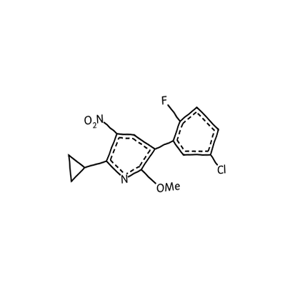 COc1nc(C2CC2)c([N+](=O)[O-])cc1-c1cc(Cl)ccc1F